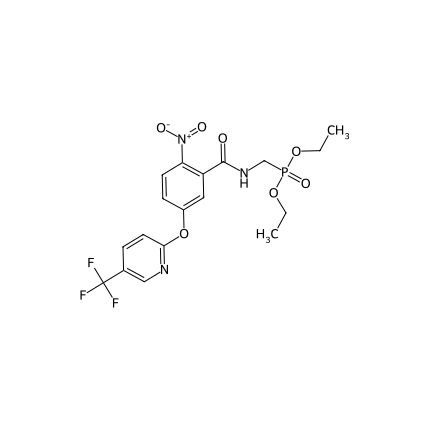 CCOP(=O)(CNC(=O)c1cc(Oc2ccc(C(F)(F)F)cn2)ccc1[N+](=O)[O-])OCC